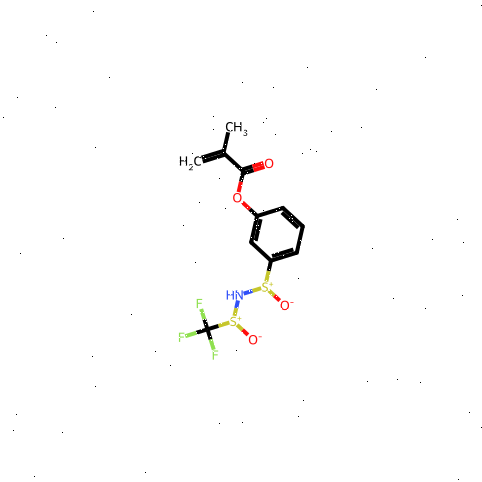 C=C(C)C(=O)Oc1cccc([S+]([O-])N[S+]([O-])C(F)(F)F)c1